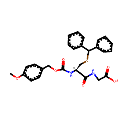 COc1ccc(COC(=O)N[C@@H](CSC(c2ccccc2)c2ccccc2)C(=O)NCC(=O)O)cc1